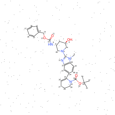 Cn1c(N2C[C@H](O)C[C@@H](NC(=O)OCc3ccccc3)C2)nc2cc(C3=CCCCN3C(=O)OC(C)(C)C)ccc21